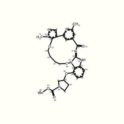 Cc1cc2cc(n1)-c1cnn(C)c1OCCCCCN1/C(=N/C2=O)Nc2cccc(OC3CCN(C(=O)OC(C)(C)C)C3)c21